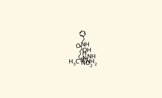 CC(CCCC(O)C(=O)NCCc1ccccc1)N(NC(=N)N)[N+](=O)[O-]